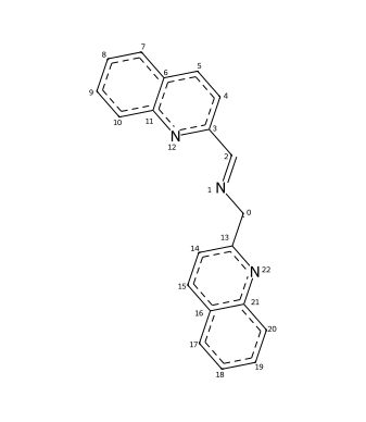 [CH](N=Cc1ccc2ccccc2n1)c1ccc2ccccc2n1